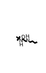 CCCCNCC(=O)NC(C)(C)C